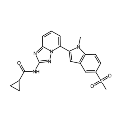 Cn1c(-c2cccc3nc(NC(=O)C4CC4)nn23)cc2cc(S(C)(=O)=O)ccc21